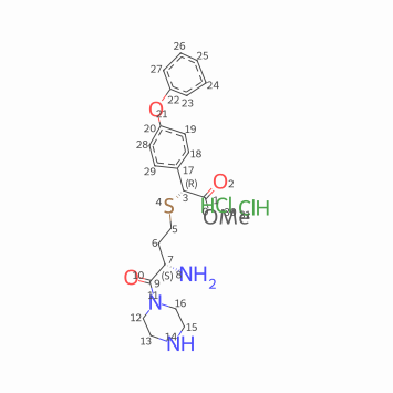 COC(=O)[C@H](SCC[C@H](N)C(=O)N1CCNCC1)c1ccc(Oc2ccccc2)cc1.Cl.Cl